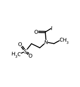 CCN(CCS(C)(=O)=O)C(=O)I